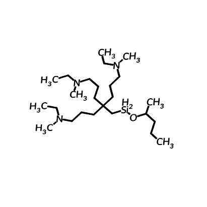 CCCC(C)O[SiH2]CC(CCCN(C)CC)(CCCN(C)CC)CCCN(C)CC